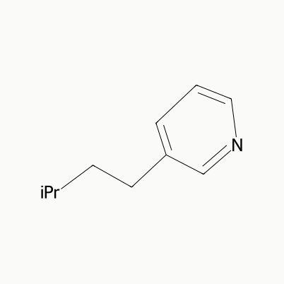 CC(C)CCc1cccnc1